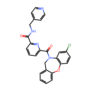 O=C(NCc1ccncc1)c1cccc(C(=O)N2Cc3ccccc3Oc3ccc(Cl)cc32)n1